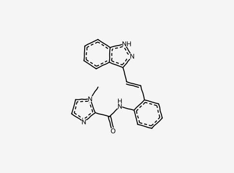 Cn1ccnc1C(=O)Nc1ccccc1C=Cc1n[nH]c2ccccc12